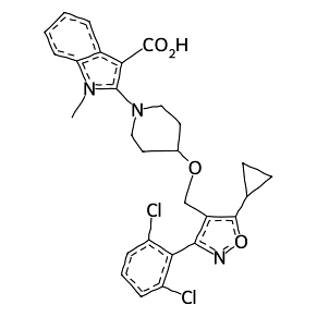 Cn1c(N2CCC(OCc3c(-c4c(Cl)cccc4Cl)noc3C3CC3)CC2)c(C(=O)O)c2ccccc21